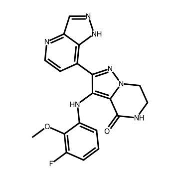 COc1c(F)cccc1Nc1c(-c2ccnc3cn[nH]c23)nn2c1C(=O)NCC2